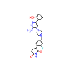 Nc1nnc(-c2ccccc2O)cc1N1CCN(Cc2ccc(C3CCC(=O)NC3=O)c(F)c2)CC1